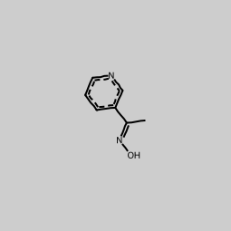 C/C(=N\O)c1cccnc1